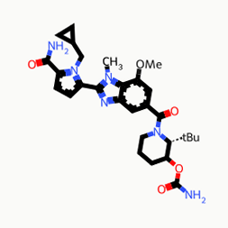 COc1cc(C(=O)N2CCCC(OC(N)=O)[C@H]2C(C)(C)C)cc2nc(-c3ccc(C(N)=O)n3CC3CC3)n(C)c12